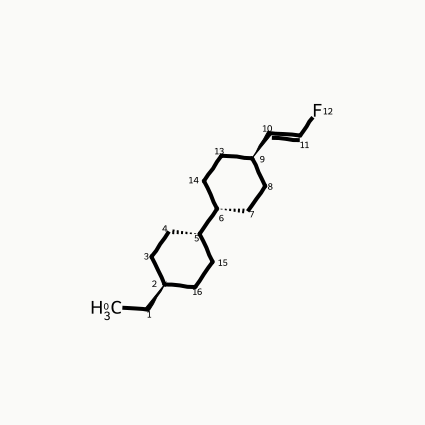 CC[C@H]1CC[C@H]([C@H]2CC[C@H](C=CF)CC2)CC1